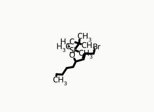 CCCCCC(C=CCBr)O[Si](C)(C)C(C)(C)C